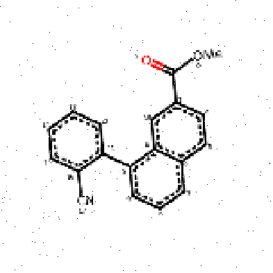 COC(=O)c1ccc2cccc(-c3ccccc3C#N)c2c1